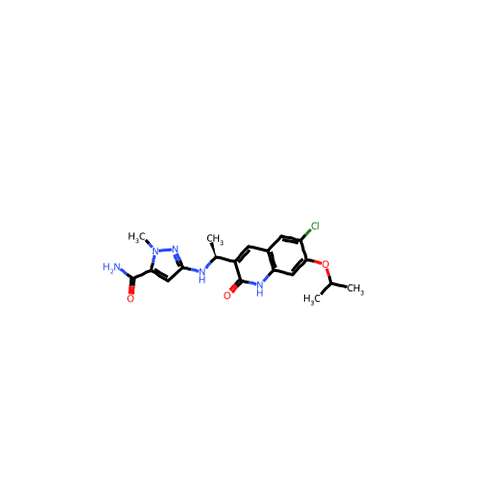 CC(C)Oc1cc2[nH]c(=O)c([C@H](C)Nc3cc(C(N)=O)n(C)n3)cc2cc1Cl